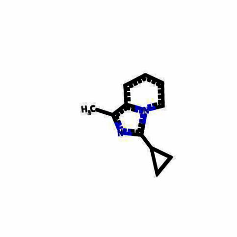 Cc1nc(C2CC2)n2ccccc12